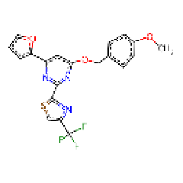 COc1ccc(COc2cc(-c3ccco3)nc(-c3nc(C(F)(F)F)cs3)n2)cc1